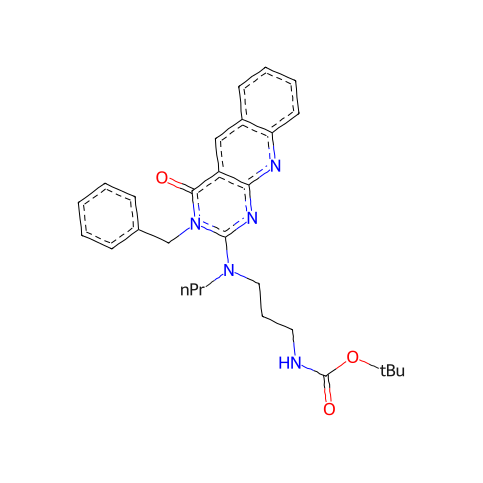 CCCN(CCCNC(=O)OC(C)(C)C)c1nc2nc3ccccc3cc2c(=O)n1Cc1ccccc1